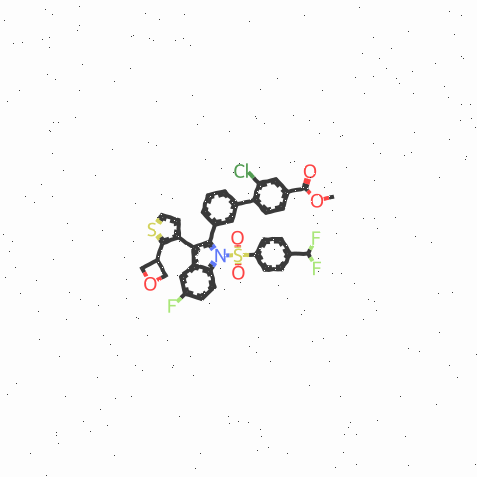 COC(=O)c1ccc(-c2cccc(-c3c(-c4ccsc4C4COC4)c4cc(F)ccc4n3S(=O)(=O)c3ccc(C(F)F)cc3)c2)c(Cl)c1